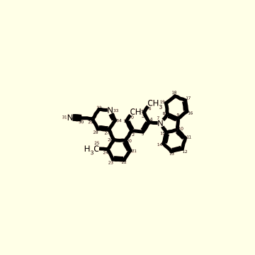 C/C=C(\C=C(/CC)n1c2c(c3ccccc31)C=CCC2)C1=CC=CC(C)C1C1=CC(C#N)CN=C1